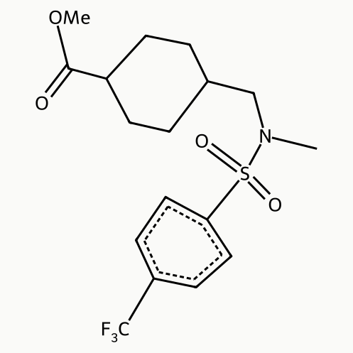 COC(=O)C1CCC(CN(C)S(=O)(=O)c2ccc(C(F)(F)F)cc2)CC1